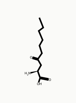 CCCCCCC(=O)C[C@H](N)C(=O)O